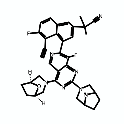 C#Cc1c(F)ccc2cc(C(C)(C)C#N)cc(-c3ncc4c(N5C[C@H]6CC[C@@H](C5)O6)nc(N5CC6CCC(C5)N6C)nc4c3F)c12